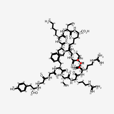 CC[C@H](C)[C@H](NC(=O)[C@H](CCCNC(=N)N)NC(=O)[C@H](CCCNC(=N)N)NC(=O)[C@H](CC(C)C)NC(=O)[C@H](Cc1ccccc1)NC(=O)CNC(=O)CNN[C@H](C=O)Cc1ccc(O)cc1)C(=O)N[C@@H](CCCNC(=N)N)C(=O)N1CCC[C@H]1C(=O)N[C@@H](CCCCN)C(=O)N[C@@H](CC(C)C)C(=O)N[C@@H](CCCCN)C(=O)O